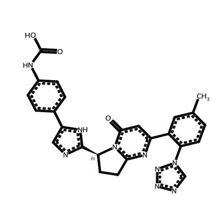 Cc1ccc(-n2cnnn2)c(-c2cc(=O)n3c(n2)CC[C@H]3c2ncc(-c3ccc(NC(=O)O)cc3)[nH]2)c1